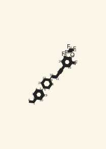 CCc1ccc([C@H]2CC[C@H](/C=C/C#Cc3cc(F)c(OC(F)(F)F)c(F)c3)CC2)cc1